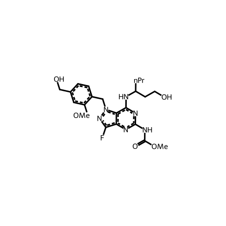 CCCC(CCO)Nc1nc(NC(=O)OC)nc2c(F)nn(Cc3ccc(CO)cc3OC)c12